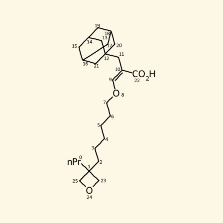 CCCC1(CCCCCCOC=C(CC23CC4CC(CC(C4)C2)C3)C(=O)O)COC1